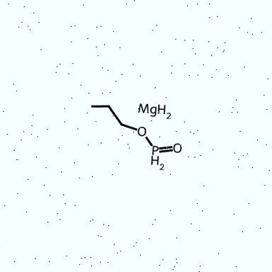 CCCO[PH2]=O.[MgH2]